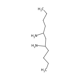 CCCCC(N)CC(N)CCCC